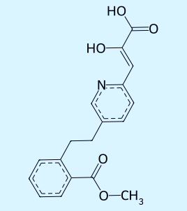 COC(=O)c1ccccc1CCc1ccc(/C=C(\O)C(=O)O)nc1